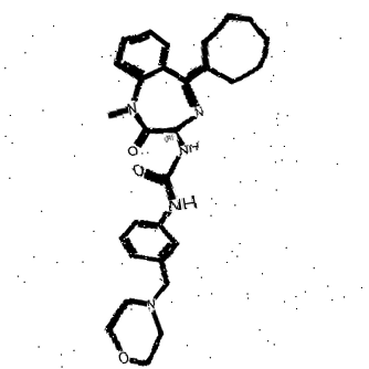 CN1C(=O)[C@H](NC(=O)Nc2cccc(CN3CCOCC3)c2)N=C(C2CCCCCC2)c2ccccc21